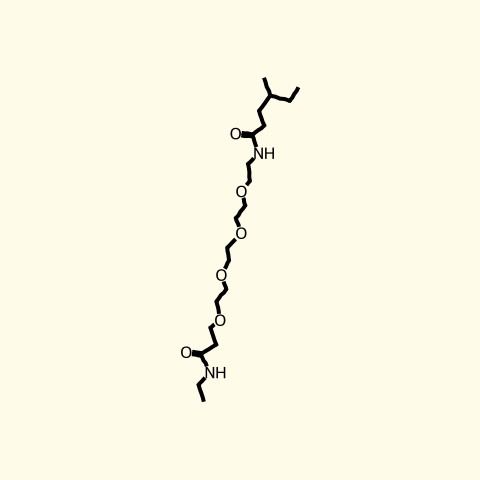 CCNC(=O)CCOCCOCCOCCOCCNC(=O)CCC(C)CC